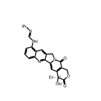 CC[C@@]1(O)C(=O)OCc2c1cc1n(c2=O)Cc2cc3c(NC=NC(C)C)cccc3nc2-1